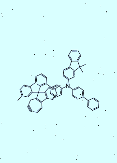 Cc1ccc2c(c1)C1(C3=C2C=CC#CC3)c2cc(C)ccc2-c2cccc(-c3cccc(N(c4ccc(-c5ccccc5)cc4)c4ccc5c(c4)C(C)(C)c4ccccc4-5)c3)c21